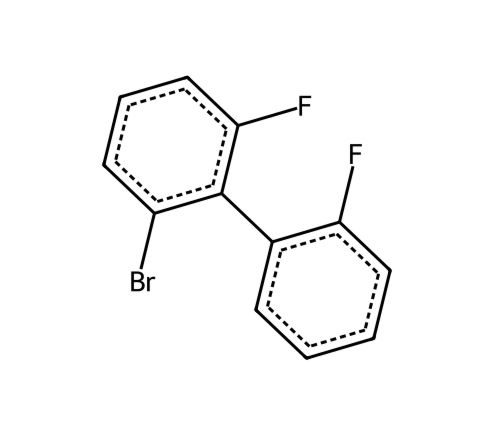 Fc1ccccc1-c1c(F)cccc1Br